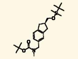 CN(Cc1ccc2c(c1)C[C@H](CO[Si](C)(C)C(C)(C)C)C2)C(=O)OC(C)(C)C